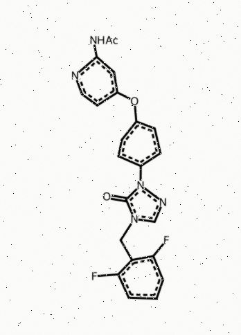 CC(=O)Nc1cc(Oc2ccc(-n3ncn(Cc4c(F)cccc4F)c3=O)cc2)ccn1